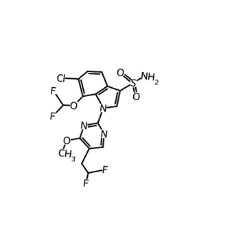 COc1nc(-n2cc(S(N)(=O)=O)c3ccc(Cl)c(OC(F)F)c32)ncc1CC(F)F